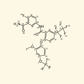 COc1cc(OC(F)(F)F)ccc1Oc1ccc(C(F)(F)C(F)(F)F)cc1C(=O)Nc1ccc(F)c(C(N)=O)c1